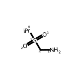 CC(C)S(=O)(=O)CN